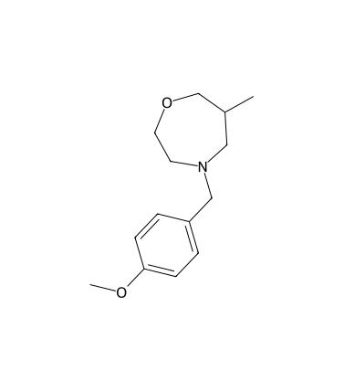 COc1ccc(CN2CCOCC(C)C2)cc1